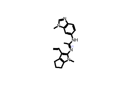 C=Cc1c2c(n(C)c1/N=C(\C)Nc1ccc3ncn(C)c3c1)CCC2